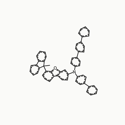 CC1(c2cccc3c2oc2cc(N(c4ccc(-c5ccccc5)cc4)c4ccc(-c5ccc(-c6ccccc6)cc5)cc4)ccc23)c2ccccc2-c2ccccc21